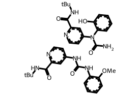 CC(C)(C)NC(=O)c1cc(N(C(N)=O)c2ccccc2O)ccn1.COc1ccccc1NC(=O)Nc1ccnc(C(=O)NC(C)(C)C)c1